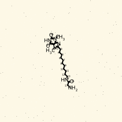 Cn1c(CCCCCCCCCCCNC(=O)CN)nc2c1c(=O)[nH]c(=O)n2C